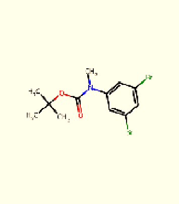 CN(C(=O)OC(C)(C)C)c1cc(Br)cc(Br)c1